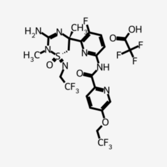 CN1C(N)=N[C@](C)(c2nc(NC(=O)c3ccc(OCC(F)(F)F)cn3)ccc2F)C[S@@]1(=O)=NCC(F)(F)F.O=C(O)C(F)(F)F